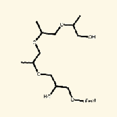 CCCCCOCC(O)COC(C)COC(C)COC(C)CO